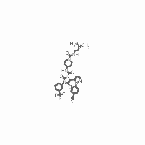 Cc1c(-c2ccnn2-c2ccc(C#N)cc2)n(C(=O)NC2CCN(C(=O)NCCN(C)C)CC2)c(=O)n1-c1cccc(C(F)(F)F)c1